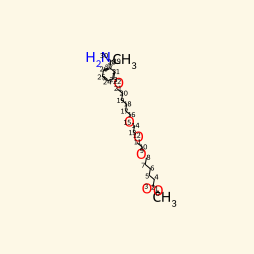 COC(=O)CCCCCOCCOCCOCCCCCCOc1cccc([C@H](C)N)c1